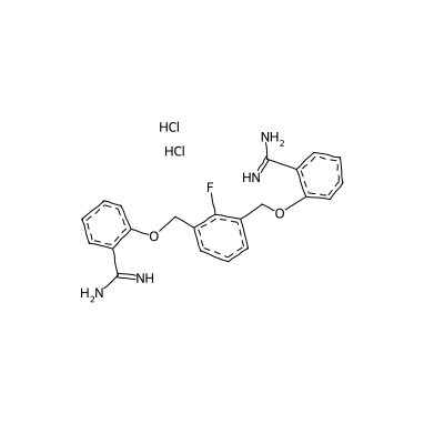 Cl.Cl.N=C(N)c1ccccc1OCc1cccc(COc2ccccc2C(=N)N)c1F